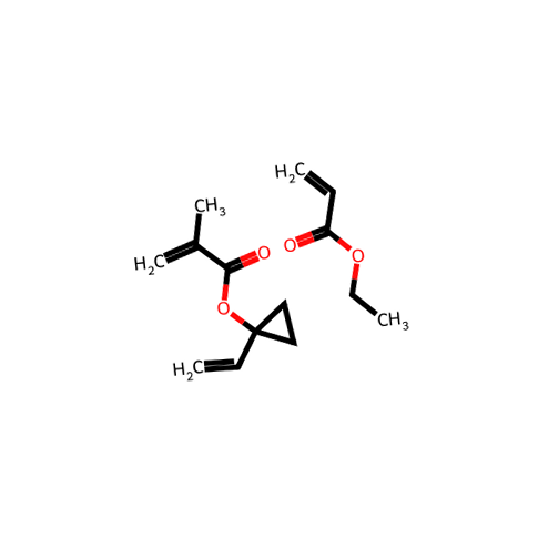 C=CC(=O)OCC.C=CC1(OC(=O)C(=C)C)CC1